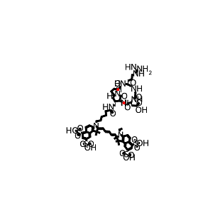 CCN1c2ccc3c(S(=O)(=O)O)cc(S(=O)(=O)O)cc3c2C(C)(C)C1(C)/C=C/C=C/C=C1/N(CCCCCC(=O)NC[C@@H]2C[C@@H]3CC[C@H]4C(=O)N[C@@H](CCCNC(=N)N)C(=O)NCC(=O)N[C@@H](CC(=O)O)C(=O)N[C@H]2C(=O)N34)c2ccc3c(S(=O)(=O)O)cc(S(=O)(=O)O)cc3c2C1(C)C